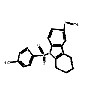 CSc1ccc2c(c1)c1c(n2S(=O)(=O)c2ccc(C)cc2)CC[CH]C1